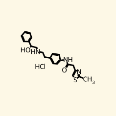 Cc1nc(CC(=O)Nc2ccc(CCNCC(O)c3ccccc3)cc2)cs1.Cl